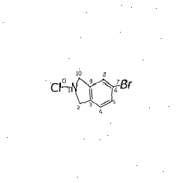 ClN1Cc2ccc(Br)cc2C1